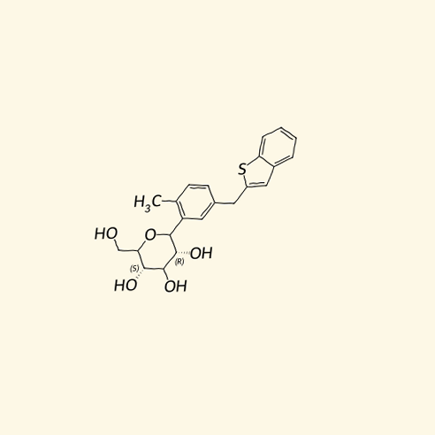 Cc1ccc(Cc2cc3ccccc3s2)cc1C1OC(CO)[C@@H](O)C(O)[C@H]1O